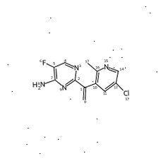 C=C(c1ncc(F)c(N)n1)c1cc(Cl)cnc1C